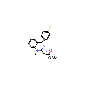 COC(=O)CC(N)N(C)c1ccccc1Cc1ccc(F)cc1